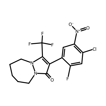 O=c1c(-c2cc([N+](=O)[O-])c(Cl)cc2F)c(C(F)(F)F)n2n1CCCCC2